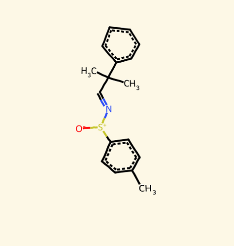 Cc1ccc([S+]([O-])N=CC(C)(C)c2ccccc2)cc1